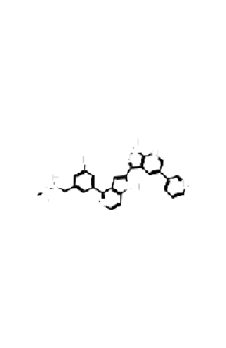 CS(=O)(=O)NCc1cc(F)cc(-c2nccc3[nH]c(-c4n[nH]c5ncc(-c6cccnc6)cc45)cc23)c1